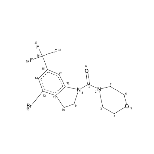 O=C(N1CCOCC1)N1CCc2c(Br)cc(C(F)(F)F)cc21